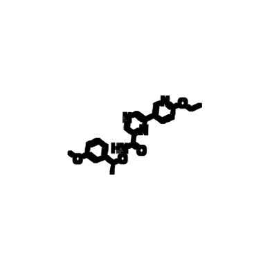 CCOc1ccc(-c2cncc(C(=O)NO[C@@H](C)c3cccc(OC)c3)n2)cn1